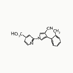 Cc1ccccc1-c1cn(-c2cc(C(=O)O)ccn2)cc1C#N